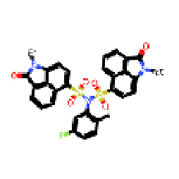 CCN1C(=O)c2cccc3c(S(=O)(=O)N(c4cc(F)ccc4C)S(=O)(=O)c4ccc5c6c(cccc46)C(=O)N5CC)ccc1c23